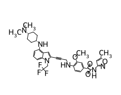 COc1cc(S(=O)(=O)Nc2cc(C)on2)ccc1NCC#Cc1cc2c(N[C@H]3CC[C@@H](N(C)C)CC3)cccc2n1CC(F)(F)F